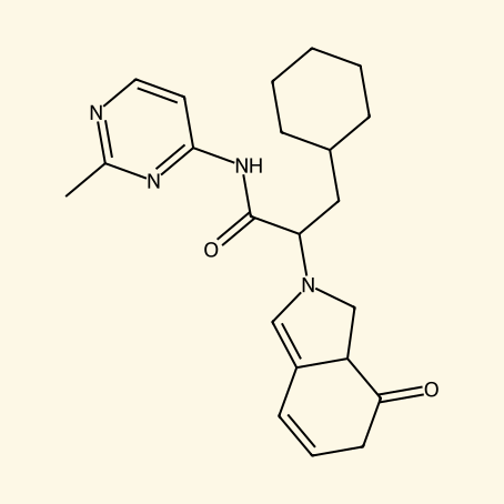 Cc1nccc(NC(=O)C(CC2CCCCC2)N2C=C3C=CCC(=O)C3C2)n1